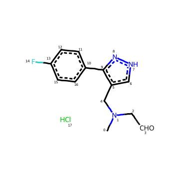 CN(CC=O)Cc1c[nH]nc1-c1ccc(F)cc1.Cl